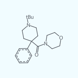 CC(C)(C)N1CCC(C(=O)N2CCOCC2)(c2ccccc2)CC1